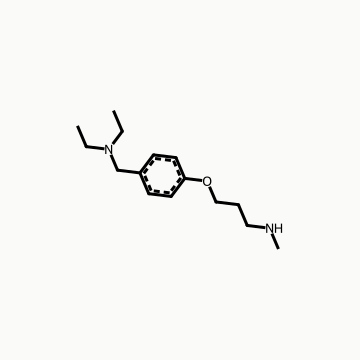 CCN(CC)Cc1ccc(OCCCNC)cc1